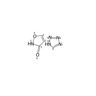 O=c1cco[nH]1.c1nnn[nH]1